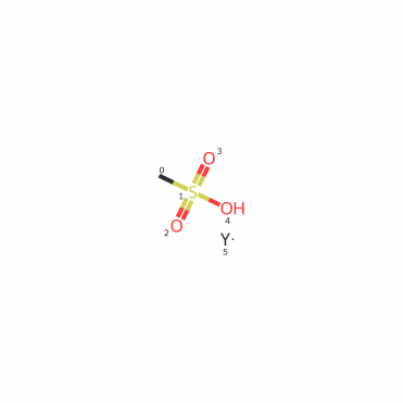 CS(=O)(=O)O.[Y]